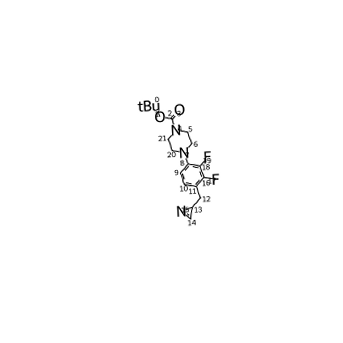 CC(C)(C)OC(=O)N1CCN(c2ccc(CC3C=N3)c(F)c2F)CC1